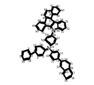 c1ccc(-c2ccc(N(c3ccc(-c4ccc5ccccc5c4)cc3)c3ccc(-n4c5ccccc5c5c6c7ccccc7ccc6c6ccccc6c54)cc3)cc2)cc1